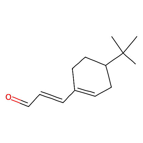 CC(C)(C)C1CC=C(C=CC=O)CC1